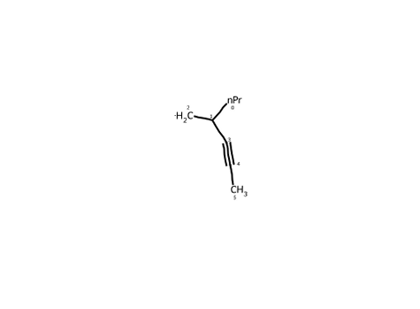 [CH2]CCC([CH2])C#CC